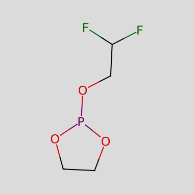 FC(F)COP1OCCO1